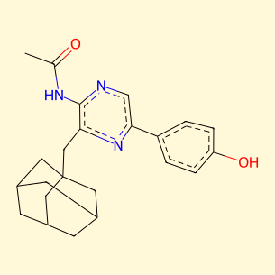 CC(=O)Nc1ncc(-c2ccc(O)cc2)nc1CC12CC3CC(CC(C3)C1)C2